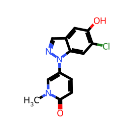 Cn1cc(-n2ncc3cc(O)c(Cl)cc32)ccc1=O